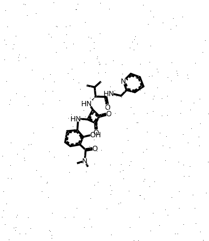 CC(C)[C@@H](Nc1c(Nc2cccc(C(=O)N(C)C)c2O)c(=O)c1=O)C(=O)NCc1ccccn1